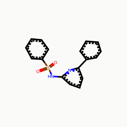 O=S(=O)(Nc1cccc(-c2ccccc2)n1)c1ccccc1